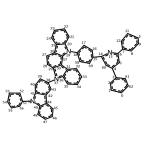 c1ccc(-c2cc(-c3ccccc3)nc(-c3ccc(-n4c5ccccc5c5ccc6c(c7ccccc7n6-c6ccc7c(c6)c6ccccc6n7-c6ccccc6)c54)cc3)c2)cc1